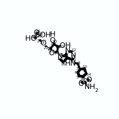 NS(=O)(=O)c1ccc(CNc2ncnc3c2ccn3[C@@H]2O[C@H](COCP(=O)(O)O)[C@@H](O)[C@H]2O)cc1